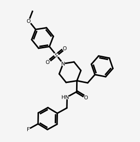 COc1ccc(S(=O)(=O)N2CCC(Cc3ccccc3)(C(=O)NCc3ccc(F)cc3)CC2)cc1